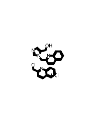 Cl.ClCc1ccc2ccccc2n1.OCc1cncn1Cc1ccc2ccccc2n1